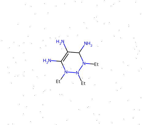 CCN1C(N)=C(N)C(N)N(CC)N1CC